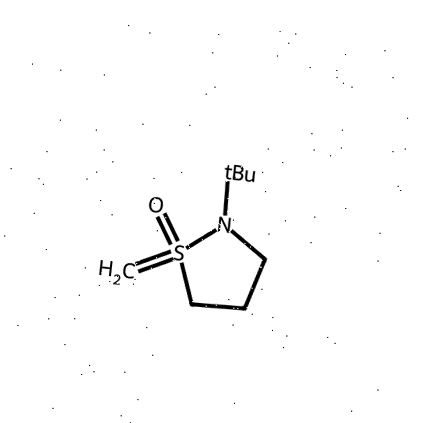 C=S1(=O)CCCN1C(C)(C)C